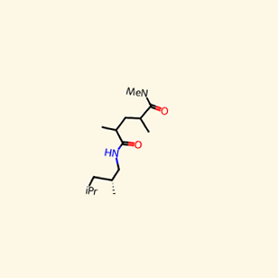 CNC(=O)C(C)CC(C)C(=O)NC[C@H](C)CC(C)C